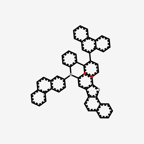 c1ccc(-c2cc3ccccc3c3ccccc23)c(-c2ccccc2N(c2ccc3c(ccc4ccccc43)c2)c2ccc3sc4c5ccccc5ccc4c3c2)c1